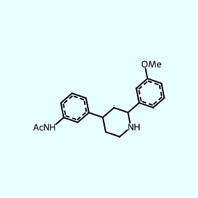 COc1cccc(C2[CH]C(c3cccc(NC(C)=O)c3)CCN2)c1